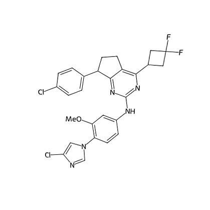 COc1cc(Nc2nc(C3CC(F)(F)C3)c3c(n2)C(c2ccc(Cl)cc2)CC3)ccc1-n1cnc(Cl)c1